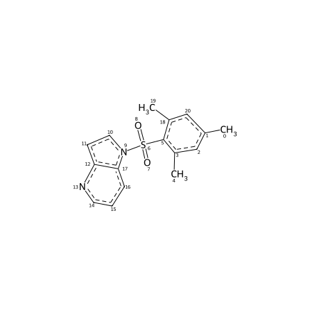 Cc1cc(C)c(S(=O)(=O)n2ccc3ncccc32)c(C)c1